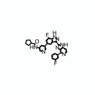 O=C(Nc1cncc(-c2cc(F)c3[nH]nc(-c4nc5c(-c6cccc(F)c6)nccc5[nH]4)c3c2)c1)C1CCCC1